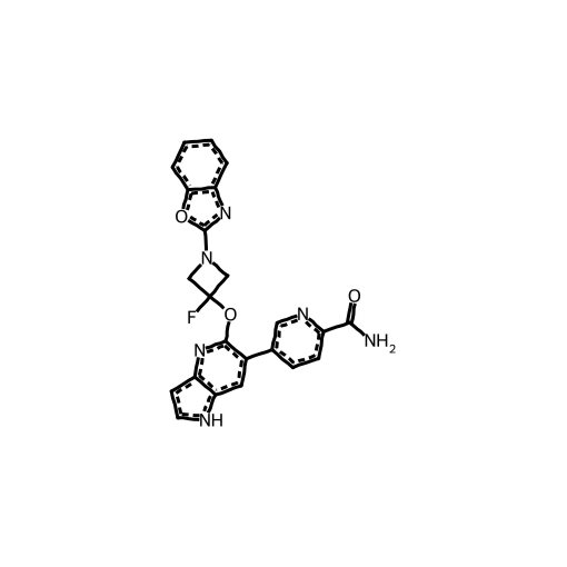 NC(=O)c1ccc(-c2cc3[nH]ccc3nc2OC2(F)CN(c3nc4ccccc4o3)C2)cn1